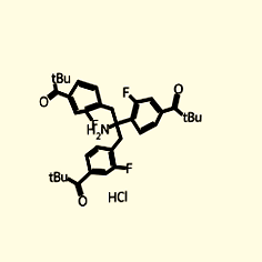 CC(C)(C)C(=O)c1ccc(CC(N)(Cc2ccc(C(=O)C(C)(C)C)cc2F)c2ccc(C(=O)C(C)(C)C)cc2F)c(F)c1.Cl